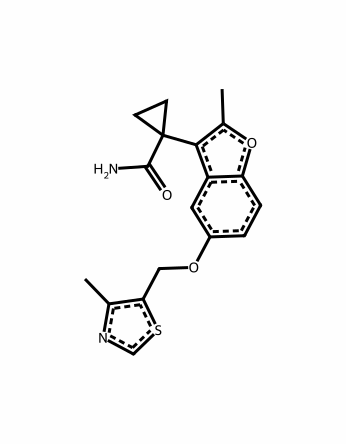 Cc1ncsc1COc1ccc2oc(C)c(C3(C(N)=O)CC3)c2c1